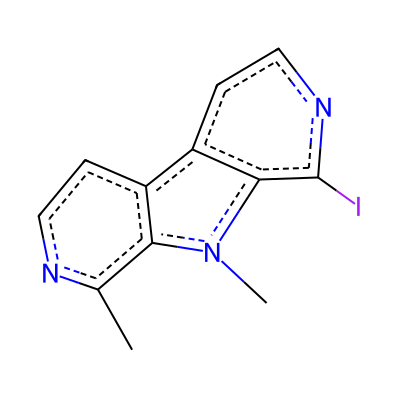 Cc1nccc2c3ccnc(I)c3n(C)c12